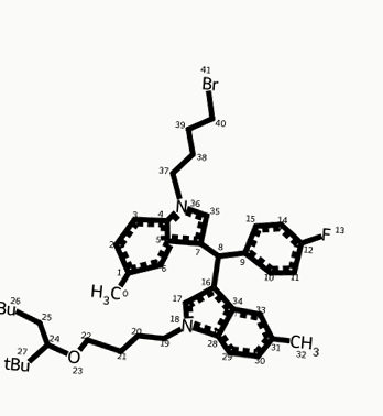 Cc1ccc2c(c1)c(C(c1ccc(F)cc1)c1cn(CCCCOC(CC(C)(C)C)C(C)(C)C)c3ccc(C)cc13)cn2CCCCBr